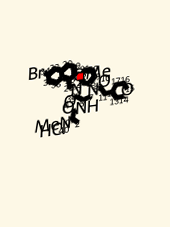 CNC(C)C(=O)NC1CN(C(=O)CC2CCOCC2)c2ccccc2N(Cc2c(OC)ccc3cc(Br)ccc23)C1=O.Cl